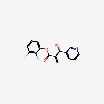 C=C(C(=O)Oc1cccc(F)c1F)C(O)c1cccnc1